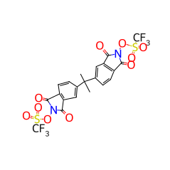 CC(C)(c1ccc2c(c1)C(=O)N(OS(=O)(=O)C(F)(F)F)C2=O)c1ccc2c(c1)C(=O)N(OS(=O)(=O)C(F)(F)F)C2=O